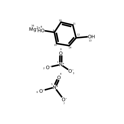 O=[N+]([O-])[O-].O=[N+]([O-])[O-].Oc1ccc(O)cc1.[Mg+2]